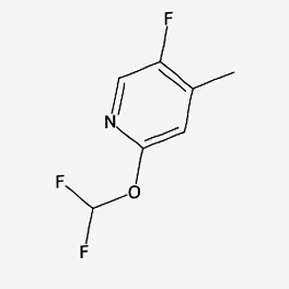 Cc1cc(OC(F)F)ncc1F